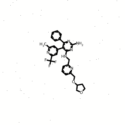 Cc1cc(-c2c(NCc3cccc(COC4CCOC4)n3)nc(N)nc2-c2ccccc2)cc(C(F)(F)F)n1